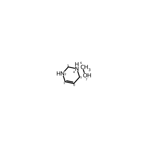 C1=CNCNC1.CO